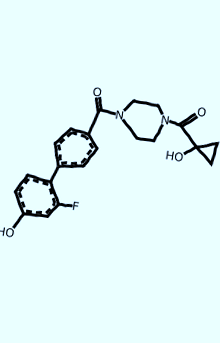 O=C(c1ccc(-c2ccc(O)cc2F)cc1)N1CCN(C(=O)C2(O)CC2)CC1